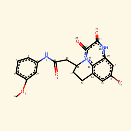 COc1cccc(NC(=O)CC2CCc3cc(Br)cc4[nH]c(=O)c(=O)n2c34)c1